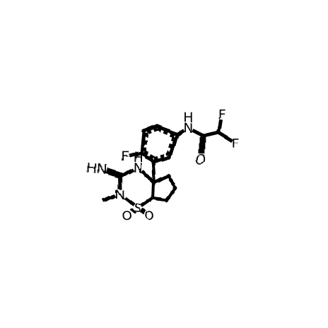 CN1C(=N)NC2(c3cc(NC(=O)C(F)F)ccc3F)CCCC2S1(=O)=O